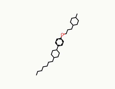 CCCCCCCC1CCC(c2ccc(OCCCC3CCC(C)CC3)cc2)CC1